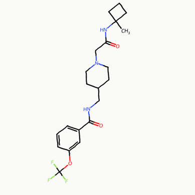 CC1(NC(=O)CN2CCC(CNC(=O)c3cccc(OC(F)(F)F)c3)CC2)CCC1